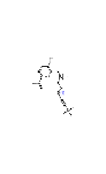 C=C(C)c1ccc(F)c(CN(C)C/C=C/C#CC(C)(C)C)c1